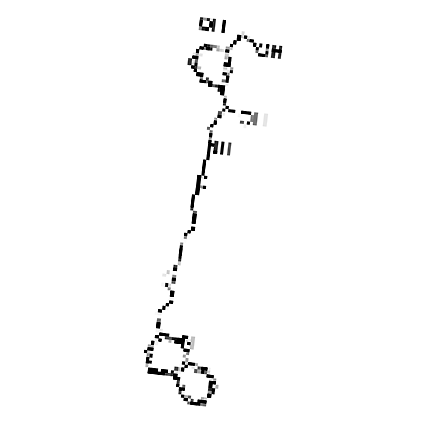 OCc1cc(C(O)CNCCCCCCOCCc2ccc3ccccc3n2)ccc1O